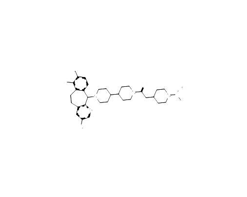 CB(O)N1CCC(CC(=O)N2CCC(C3CCN(C4c5ccc(Cl)c(Br)c5CCc5cc(Br)cnc54)CC3)CC2)CC1